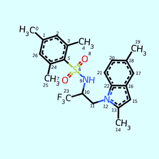 Cc1cc(C)c(S(=O)(=O)NC(Cn2c(C)cc3cc(C)ccc32)C(F)(F)F)c(C)c1